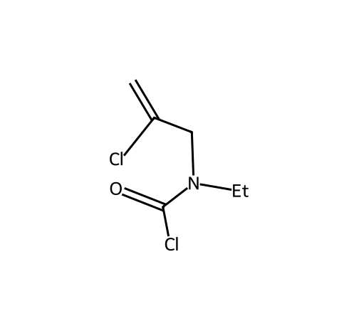 C=C(Cl)CN(CC)C(=O)Cl